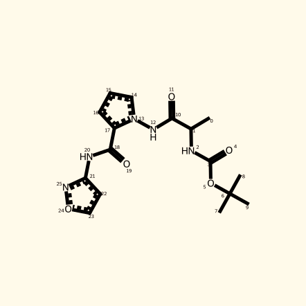 CC(NC(=O)OC(C)(C)C)C(=O)Nn1cccc1C(=O)Nc1ccon1